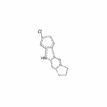 Clc1ccc2c(c1)[nH]c1cc3c(cc12)CCC3